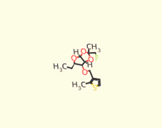 CC[C@H]1O[C@@H]2OC(C)(CF)O[C@@H]2[C@H]1OCc1ccsc1C